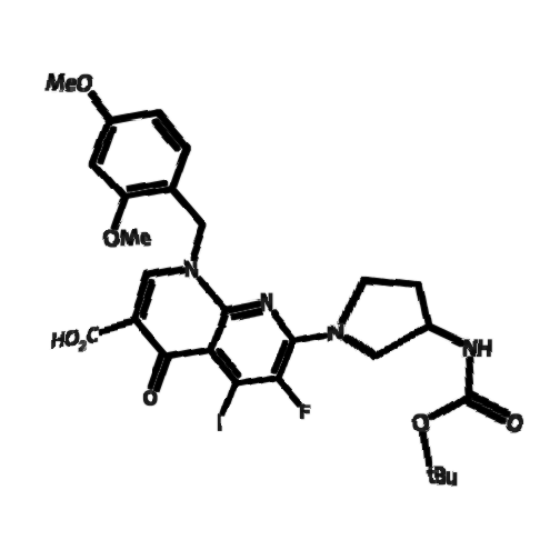 COc1ccc(Cn2cc(C(=O)O)c(=O)c3c(I)c(F)c(N4CCC(NC(=O)OC(C)(C)C)C4)nc32)c(OC)c1